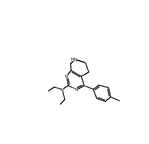 CCN(CC)c1nc2c(c(-c3ccc(C)cc3)n1)CCNC2